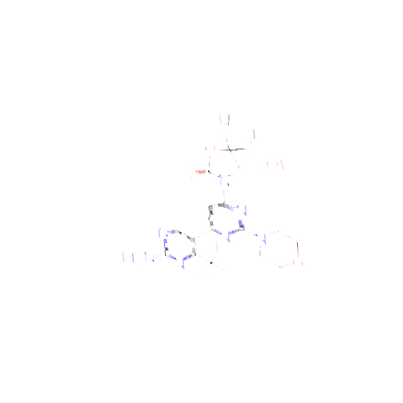 CC1(C)OC(=O)N(c2cc(-c3cnc(N)nc3C(F)(F)F)nc(N3CCOCC3)n2)[C@H]1CO